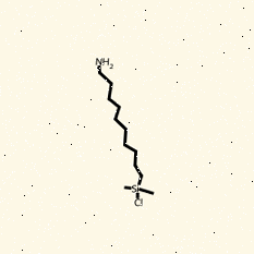 C[Si](C)(Cl)CCCCCCCCCCN